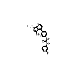 Cn1nc(N)c2c(-c3ccc(NC(=O)Nc4cccc(F)c4)cc3)ccnc21